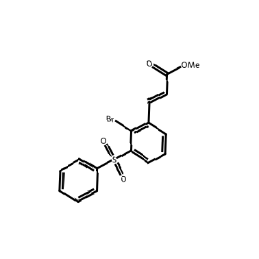 COC(=O)C=Cc1cccc(S(=O)(=O)c2ccccc2)c1Br